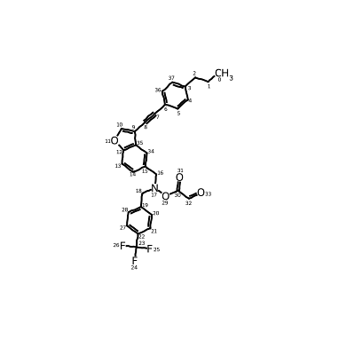 CCCc1ccc(C#Cc2coc3ccc(CN(Cc4ccc(C(F)(F)F)cc4)OC(=O)C=O)cc23)cc1